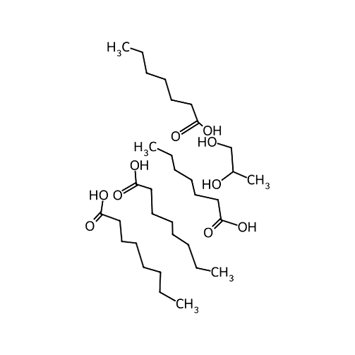 CC(O)CO.CCCCCCC(=O)O.CCCCCCC(=O)O.CCCCCCCC(=O)O.CCCCCCCC(=O)O